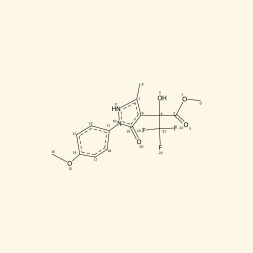 COC(=O)C(O)(c1c(C)[nH]n(-c2ccc(OC)cc2)c1=O)C(F)(F)F